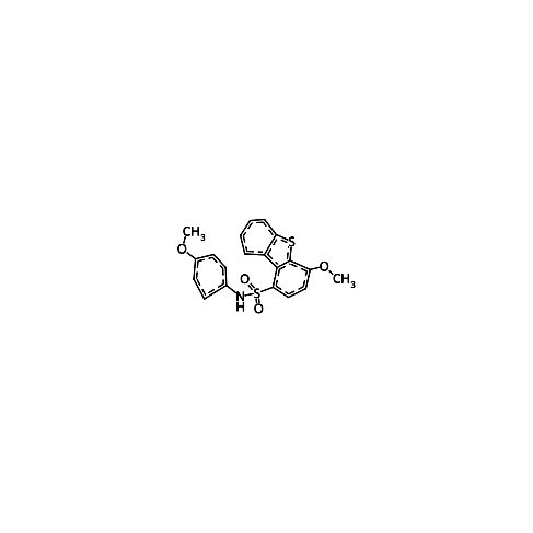 COc1ccc(NS(=O)(=O)c2ccc(OC)c3sc4ccccc4c23)cc1